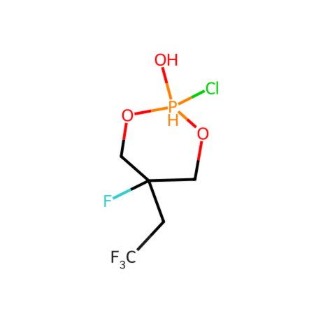 O[PH]1(Cl)OCC(F)(CC(F)(F)F)CO1